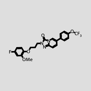 COc1cc(F)ccc1OCCCn1nc2ccc(-c3ccc(OC(F)(F)F)cc3)cn2c1=O